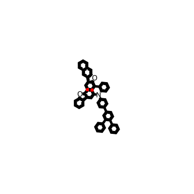 c1ccc(-c2ccc(-c3ccc(N(c4ccc5oc6ccccc6c5c4)c4ccccc4-c4cccc5c4oc4cc6ccccc6cc45)cc3)cc2-c2ccccc2)cc1